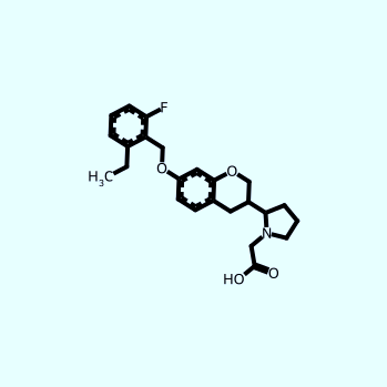 CCc1cccc(F)c1COc1ccc2c(c1)OCC(C1CCCN1CC(=O)O)C2